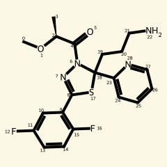 CO[C@@H](C)C(=O)N1N=C(c2cc(F)ccc2F)SC1(CCCN)c1ccccn1